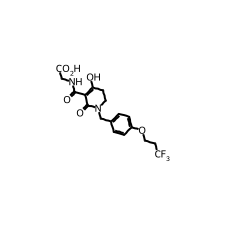 O=C(O)CNC(=O)C1=C(O)CCN(Cc2ccc(OCCC(F)(F)F)cc2)C1=O